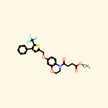 COC(=O)CCC(=O)N1CCOc2cc(OCc3cc(-c4ccccc4)c(C(F)(F)F)s3)ccc21